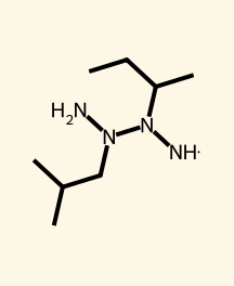 CCC(C)N([NH])N(N)CC(C)C